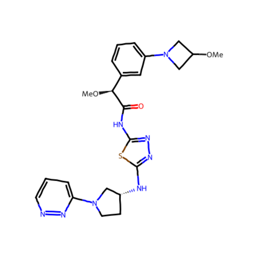 COC1CN(c2cccc([C@H](OC)C(=O)Nc3nnc(N[C@@H]4CCN(c5cccnn5)C4)s3)c2)C1